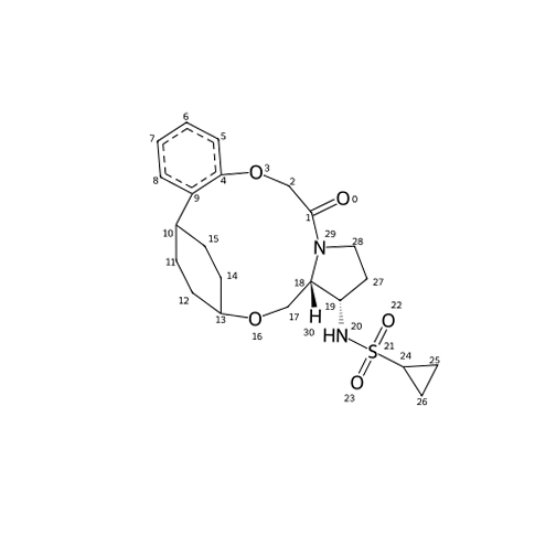 O=C1COc2ccccc2C2CCC(CC2)OC[C@H]2[C@@H](NS(=O)(=O)C3CC3)CCN12